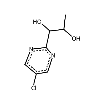 CC(O)C(O)c1ncc(Cl)cn1